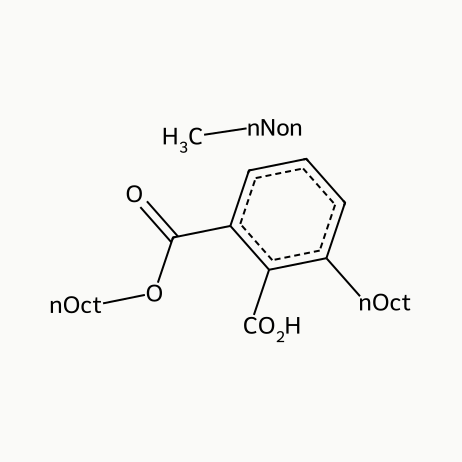 CCCCCCCCCC.CCCCCCCCOC(=O)c1cccc(CCCCCCCC)c1C(=O)O